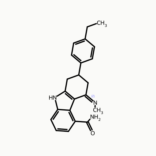 CCc1ccc(C2C/C(=N/C)c3c([nH]c4cccc(C(N)=O)c34)C2)cc1